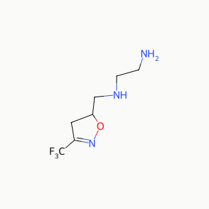 NCCNCC1CC(C(F)(F)F)=NO1